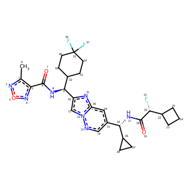 Cc1nonc1C(=O)N[C@H](c1cn2ncc([C@H](NC(=O)[C@H](F)C3CCC3)C3CC3)cc2n1)C1CCC(F)(F)CC1